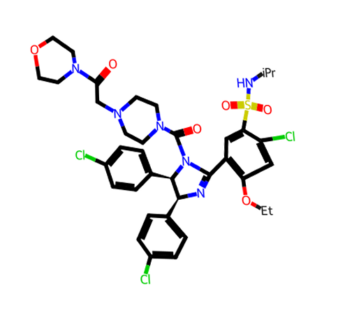 CCOc1cc(Cl)c(S(=O)(=O)NC(C)C)cc1C1=N[C@@H](c2ccc(Cl)cc2)[C@@H](c2ccc(Cl)cc2)N1C(=O)N1CCN(CC(=O)N2CCOCC2)CC1